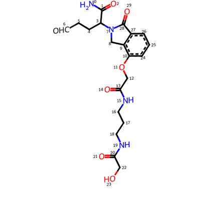 NC(=O)C(CCC=O)N1Cc2c(OCC(=O)NCCCNC(=O)CO)cccc2C1=O